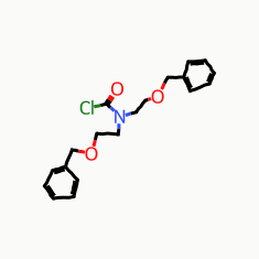 O=C(Cl)N(CCOCc1ccccc1)CCOCc1ccccc1